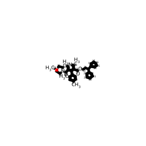 Cc1ccc(-c2c(C(=O)OCCC(c3ccccc3)c3ccccc3)c(C)nc(C)c2C(=O)N2CCN(C)CC2)c(C)c1